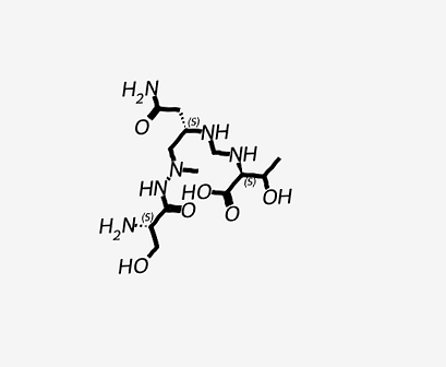 CC(O)[C@H](NCN[C@@H](CC(N)=O)CN(C)NC(=O)[C@@H](N)CO)C(=O)O